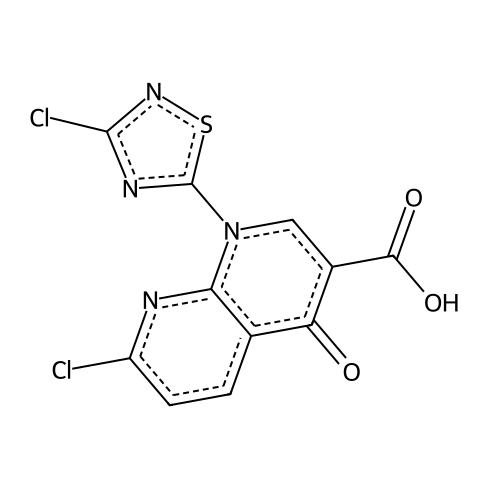 O=C(O)c1cn(-c2nc(Cl)ns2)c2nc(Cl)ccc2c1=O